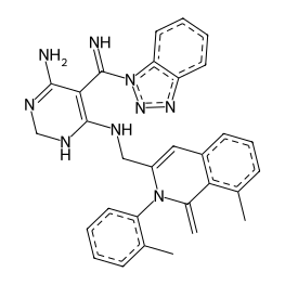 C=C1c2c(C)cccc2C=C(CNC2=C(C(=N)n3nnc4ccccc43)C(N)=NCN2)N1c1ccccc1C